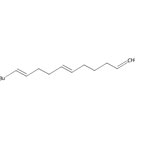 [CH]=CCCCC=CCCC=CCCCC